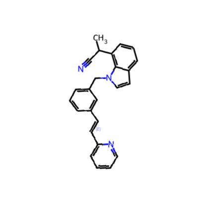 CC(C#N)c1cccc2ccn(Cc3cccc(/C=C/c4ccccn4)c3)c12